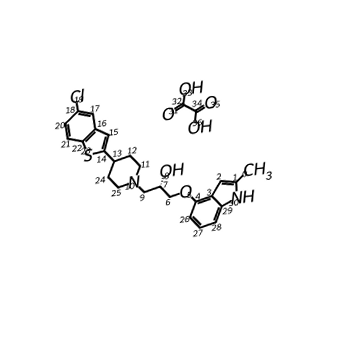 Cc1cc2c(OC[C@@H](O)CN3CCC(c4cc5cc(Cl)ccc5s4)CC3)cccc2[nH]1.O=C(O)C(=O)O